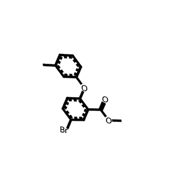 COC(=O)c1cc(Br)ccc1Oc1cccc(C)c1